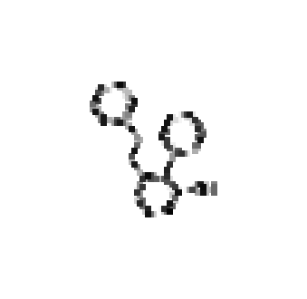 Oc1cccc(CCc2ccccc2)c1-c1ccccc1